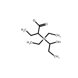 CCC(O)[N+](CC)(CC)C(CC)C(=O)[O-]